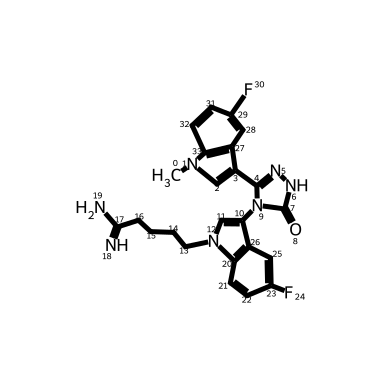 Cn1cc(-c2n[nH]c(=O)n2-c2cn(CCCCC(=N)N)c3ccc(F)cc23)c2cc(F)ccc21